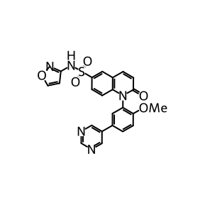 COc1ccc(-c2cncnc2)cc1-n1c(=O)ccc2cc(S(=O)(=O)Nc3ccon3)ccc21